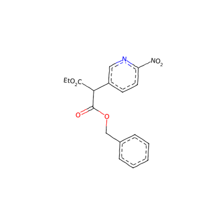 CCOC(=O)C(C(=O)OCc1ccccc1)c1ccc([N+](=O)[O-])nc1